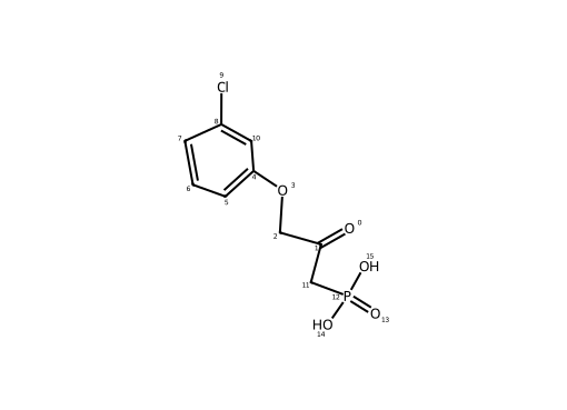 O=C(COc1cccc(Cl)c1)CP(=O)(O)O